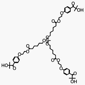 CC(C)(O)C(=O)c1ccc(OCCOC(=O)CCCCCO[Si](C)(OCCCCCC(=O)OCCOc2ccc(C(=O)C(C)(C)O)cc2)OCCCCCC(=O)OCCOc2ccc(C(=O)C(C)(C)O)cc2)cc1